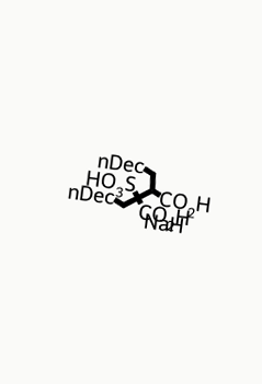 CCCCCCCCCCCC(C(=O)O)C(CCCCCCCCCCC)(C(=O)O)S(=O)(=O)O.[NaH]